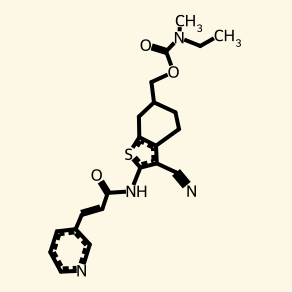 CCN(C)C(=O)OCC1CCc2c(sc(NC(=O)C=Cc3cccnc3)c2C#N)C1